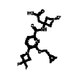 O=C(O)CC1(NC(=O)c2ccc(N3CC(F)(F)C3)c(OCC3CC3)n2)C[S+]([O-])C1